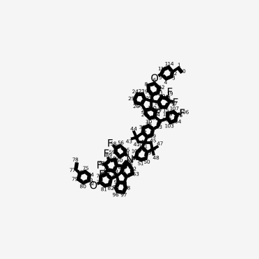 C=Cc1ccc(Oc2ccc(C3(c4c(F)cc(F)c(F)c4F)c4ccccc4-c4ccc(/C(=C\c5ccc6c(c5)C5(CC6(C)C)CC(C)(C)c6ccc(N(c7ccc(F)cc7)c7ccc8c(c7)C(c7ccc(Oc9ccc(C=C)cc9)cc7)(c7c(C=C)cc(F)c(F)c7F)c7ccccc7-8)cc65)c5ccc(F)cc5)cc43)cc2)cc1